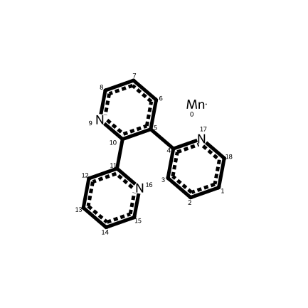 [Mn].c1ccc(-c2cccnc2-c2ccccn2)nc1